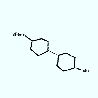 CCCCCC1CCC([C@H]2CC[C@H](CCCC)CC2)CC1